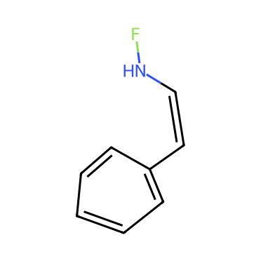 FN/C=C\c1ccccc1